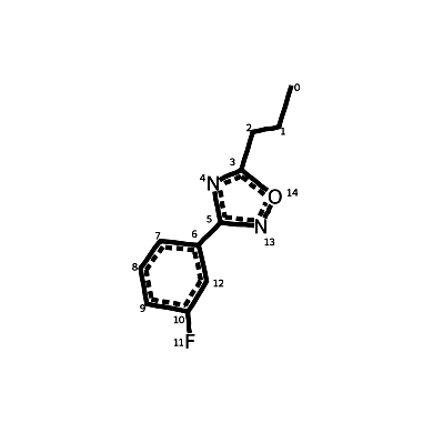 CC[CH]c1nc(-c2cccc(F)c2)no1